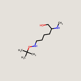 CNC(CO)CCCCNOC(C)(C)C